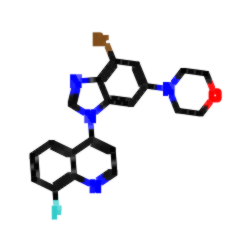 Fc1cccc2c(-n3cnc4c(Br)cc(N5CCOCC5)cc43)ccnc12